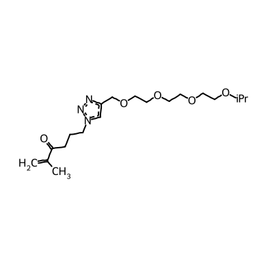 C=C(C)C(=O)CCCn1cc(COCCOCCOCCOC(C)C)nn1